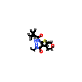 CCNC(=O)c1c(NC(=O)C2C(C)(C)C2(C)C)sc2c1CCOC2